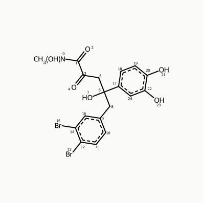 CN(O)C(=O)C(=O)CC(O)(Cc1ccc(Br)c(Br)c1)c1ccc(O)c(O)c1